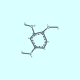 COc1ccc(SC)cc1OC